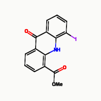 COC(=O)c1cccc2c(=O)c3cccc(I)c3[nH]c12